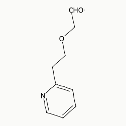 O=[C]COCCc1ccccn1